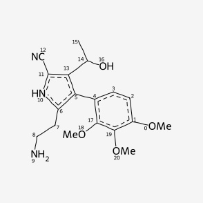 COc1ccc(-c2c(CCN)[nH]c(C#N)c2C(C)O)c(OC)c1OC